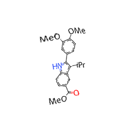 COC(=O)c1ccc2[nH]c(-c3ccc(OC)c(OC)c3)c(C(C)C)c2c1